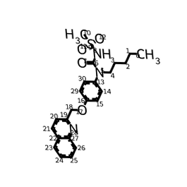 CCCCCN(C(=O)NS(C)(=O)=O)c1ccc(OCc2ccc3ccccc3n2)cc1